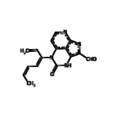 C=C/C(=C\C=C/C)N1C(=O)Nc2c(C=O)sc3nccc1c23